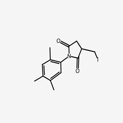 Cc1cc(C)c(N2C(=O)CC(CI)C2=O)cc1C